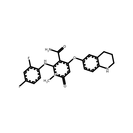 Cn1c(Nc2ccc(I)cc2F)c(C(N)=O)c(Oc2ccc3c(c2)CCCN3)cc1=O